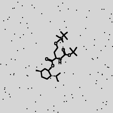 CC(C)[C@@H]1CC[C@@H](C)C[C@H]1OC(=O)C(CCO[Si](C)(C)C(C)(C)C)NC(=O)OC(C)(C)C